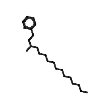 CCCCCCCCCCCCCC(C)CCc1[c]cccc1